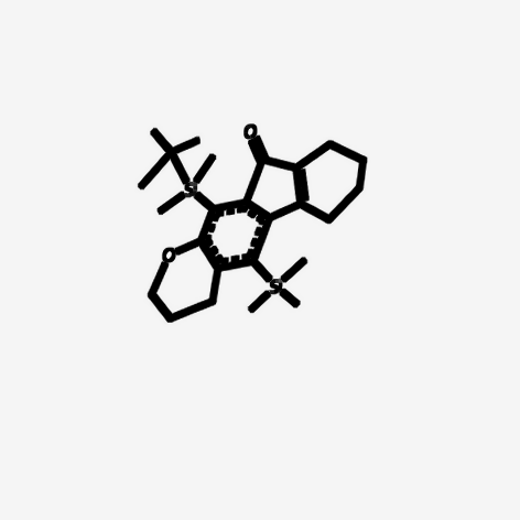 CC(C)(C)[Si](C)(C)c1c2c(c([Si](C)(C)C)c3c1C(=O)C1=C3CCCC1)CCCO2